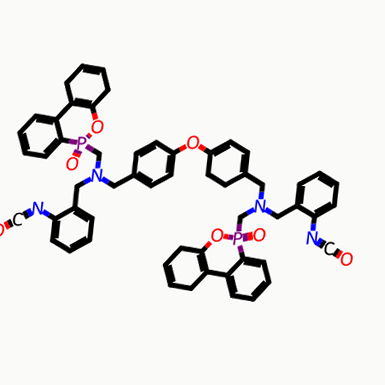 O=C=Nc1ccccc1CN(CC1=CC=C(Oc2ccc(CN(Cc3ccccc3N=C=O)CP3(=O)OC4=C(CC=CC4)c4ccccc43)cc2)CC1)CP1(=O)OC2=C(CC=CC2)c2ccccc21